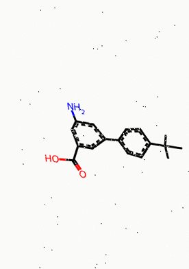 CC(C)(C)c1ccc(-c2cc(N)cc(C(=O)O)c2)cc1